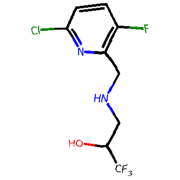 OC(CNCc1nc(Cl)ccc1F)C(F)(F)F